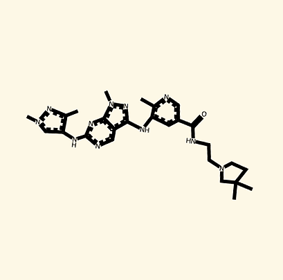 Cc1nn(C)cc1Nc1ncc2c(Nc3cc(C(=O)NCCN4CCC(C)(C)C4)cnc3C)nn(C)c2n1